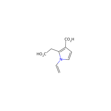 C=Cn1ccc(C(=O)O)c1CC(=O)O